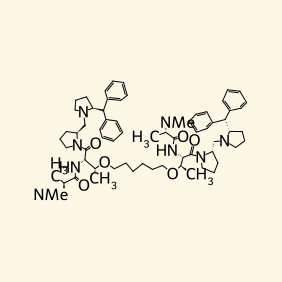 CN[C@@H](C)C(=O)N[C@H](C(=O)N1CCC[C@H]1CN1CCC[C@H]1C(c1ccccc1)c1ccccc1)[C@@H](C)OCCCCCCO[C@H](C)[C@H](NC(=O)[C@H](C)NC)C(=O)N1CCC[C@H]1CN1CCC[C@H]1C(c1ccccc1)c1ccccc1